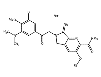 Br.CCOc1cc2c(nc1C(=O)NC)C(=N)N(CC(=O)c1cc(Cl)c(OC)c(N(C)C)c1)C2